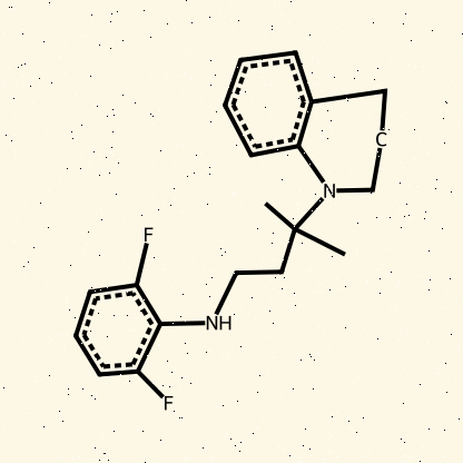 CC(C)(CCNc1c(F)cccc1F)N1CCCc2ccccc21